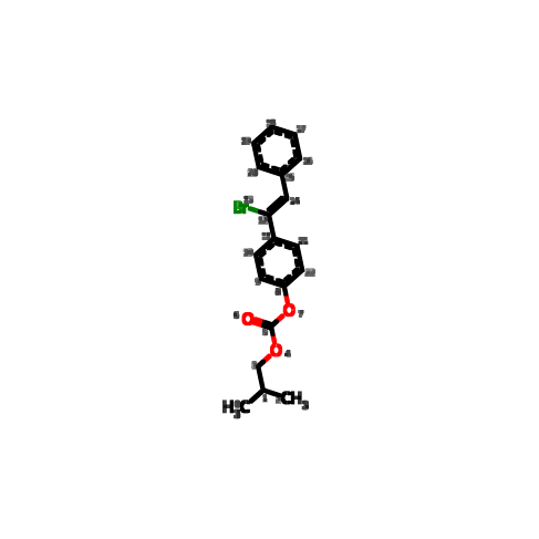 CC(C)COC(=O)Oc1ccc(C(Br)=Cc2ccccc2)cc1